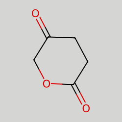 O=C1CCC(=O)OC1